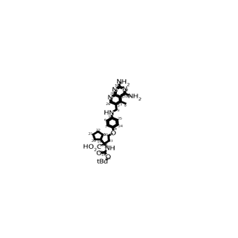 Cc1c(CNc2ccc(OCC[C@@](NC(=O)OC(C)(C)C)(C(=O)O)C3CCCC3)cc2)cnc2nc(N)nc(N)c12